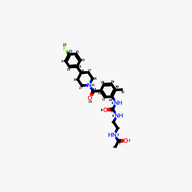 CC(=O)NCCNC(=O)Nc1cc(C(=O)N2CCC(c3ccc(F)cc3)CC2)ccc1C